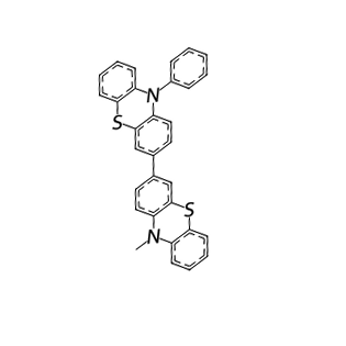 CN1c2ccccc2Sc2cc(-c3ccc4c(c3)Sc3ccccc3N4c3ccccc3)ccc21